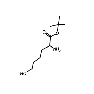 CC(C)(C)OC(=O)C(N)CCCCO